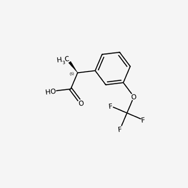 C[C@H](C(=O)O)c1cccc(OC(F)(F)F)c1